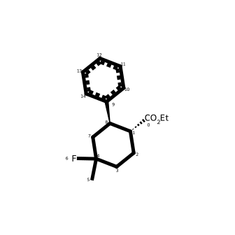 CCOC(=O)[C@@H]1CCC(C)(F)C[C@H]1c1ccccc1